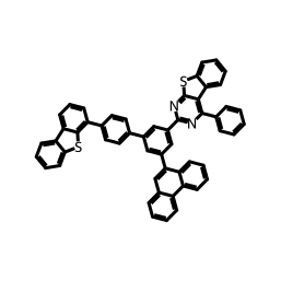 c1ccc(-c2nc(-c3cc(-c4ccc(-c5cccc6c5sc5ccccc56)cc4)cc(-c4cc5ccccc5c5ccccc45)c3)nc3sc4ccccc4c23)cc1